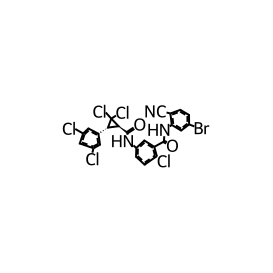 N#Cc1ccc(Br)cc1NC(=O)c1cc(NC(=O)[C@H]2[C@H](c3cc(Cl)cc(Cl)c3)C2(Cl)Cl)ccc1Cl